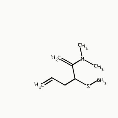 BSC(CC=C)C(=C)N(C)C